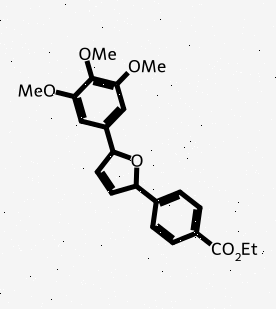 CCOC(=O)c1ccc(C2C=CC(c3cc(OC)c(OC)c(OC)c3)O2)cc1